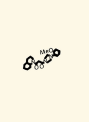 COc1ccccc1N1CCN(C(=O)CC(=O)N2CCCC3CCCCC32)CC1